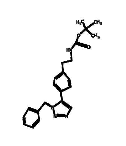 CC(C)(C)OC(=O)NCCc1ccc(-c2cnnn2Cc2ccccc2)cc1